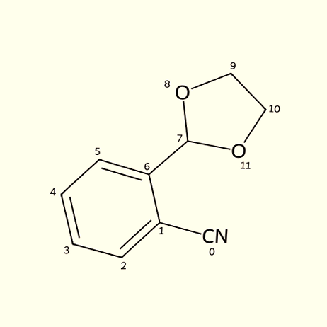 N#Cc1ccccc1C1OCCO1